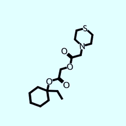 CCC1(OC(=O)COC(=O)CN2CCSCC2)CCCCC1